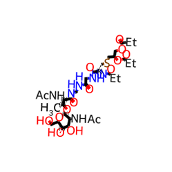 CCC(=O)N[C@@H](CSCC(COC(=O)CC)OC(=O)CC)C(=O)NCC(=O)NCNC(=O)[C@@H](NC(C)=O)[C@@H](C)O[C@@H]1OC(CO)[C@@H](O)C(O)C1NC(C)=O